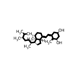 C=C1/C(=C\C=C2/CCC[C@]3(C)[C@@H]([C@H](C)CC[C@H](C)C(C)C)CC[C@@H]23)C[C@@H](O)C[C@@H]1O